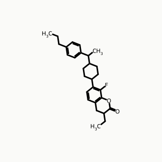 CCCc1ccc(C(C)C2CCC(c3ccc4c(c3F)OC(=O)C(CC)C4)CC2)cc1